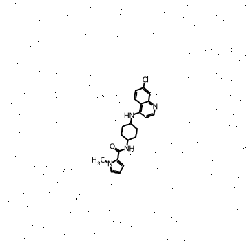 Cn1cccc1C(=O)NC1CCC(Nc2ccnc3cc(Cl)ccc23)CC1